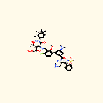 COc1c(-c2cc(C(=O)N[C@H](CN(C)C)[C@@H](NS(C)(=O)=O)c3ccccc3)cc(N(C)C)c2)ccc(F)c1CN1O[C@@H](CO)[C@@H]([C@H](C)O)[C@H]1C(=O)N[C@H]1C[C@@H](C)C(C)(C)[C@@H](C)[C@@H]1C